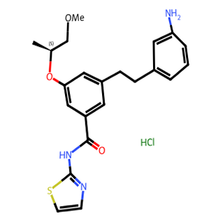 COC[C@H](C)Oc1cc(CCc2cccc(N)c2)cc(C(=O)Nc2nccs2)c1.Cl